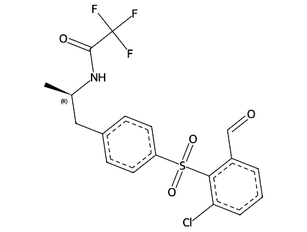 C[C@H](Cc1ccc(S(=O)(=O)c2c(Cl)cccc2C=O)cc1)NC(=O)C(F)(F)F